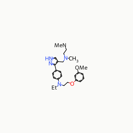 CCN(CCOc1cccc(OC)c1)c1ccc(-c2n[nH]cc2CN(C)CCNC)cc1